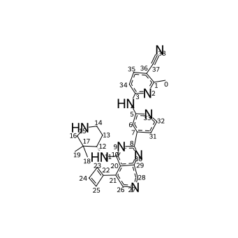 Cc1nc(Nc2cc(-c3nc(N[C@H]4CCNCC4(C)C)c4c(C5=CC=C5)cncc4n3)ccn2)ccc1C#N